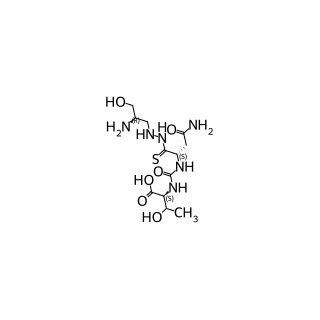 CC(O)[C@H](NC(=O)N[C@@H](CC(N)=O)C(=S)NNC[C@@H](N)CO)C(=O)O